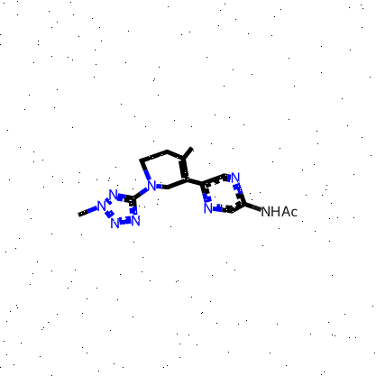 CC(=O)Nc1cnc(C2=C(C)CCN(c3nnn(C)n3)C2)cn1